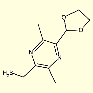 BCc1nc(C)c(C2OCCO2)nc1C